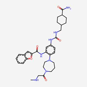 CNCC(=O)N1CCCN(c2ccc(NC(=O)NCC3CCC(C(N)=O)CC3)cc2NC(=O)c2cc3ccccc3o2)CC1